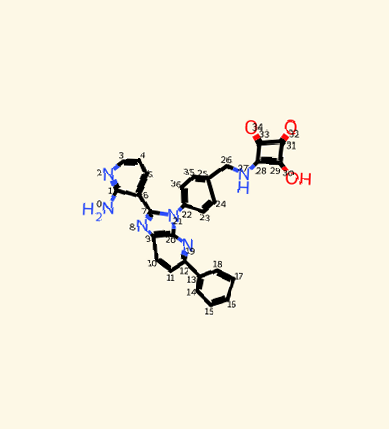 Nc1ncccc1-c1nc2ccc(-c3ccccc3)nc2n1-c1ccc(CNc2c(O)c(=O)c2=O)cc1